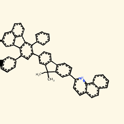 CC1(C)c2cc(-c3ccc4ccc5ccccc5c4n3)ccc2-c2ccc(-c3cc(-c4ccccc4)c4c(c3-c3ccccc3)-c3cccc5cccc-4c35)cc21